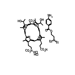 CC1=C(CCC(=O)O)c2cc3[nH]c(cc4nc(c(C(=O)O)c5[nH]c(cc1n2)c(C)c5C(C)O)C(C)=C4C(C)O)c(C)c3CCC(=O)O.CCN(CC)CCOC(=O)c1ccc(N)cc1.Cl.Cl